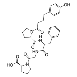 O=C(NCC(=O)N1CCC[C@H]1C(=O)O)[C@@H](Cc1ccccc1)NC(=O)[C@@H]1CCCN1C(=O)CCCc1ccc(O)cc1